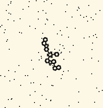 c1ccc(-c2nc(-c3ccc4c(c3)sc3c5ccccc5ccc43)nc(-c3cccc4oc5c(-c6cccc7ccccc67)cccc5c34)n2)cc1